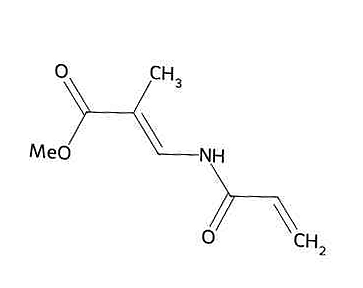 C=CC(=O)NC=C(C)C(=O)OC